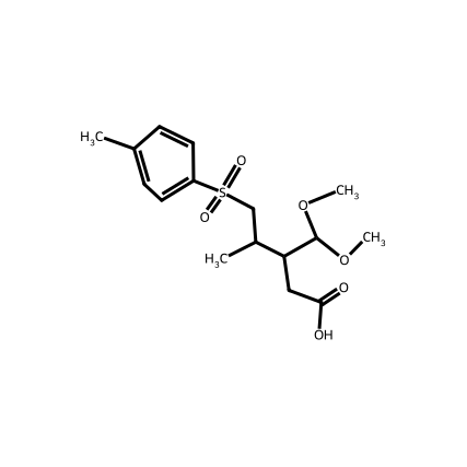 COC(OC)C(CC(=O)O)C(C)CS(=O)(=O)c1ccc(C)cc1